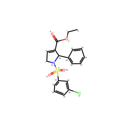 CCOC(=O)C1=CCN(S(=O)(=O)c2cccc(Cl)c2)C1c1ccccc1